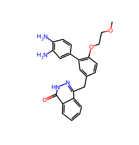 COCCOc1ccc(Cc2n[nH]c(=O)c3ccccc23)cc1-c1ccc(N)c(N)c1